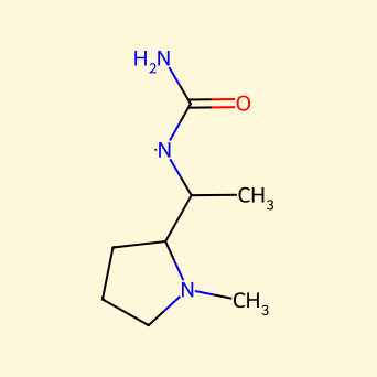 CC([N]C(N)=O)C1CCCN1C